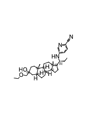 CCOC[C@@]1(O)CC[C@@]2(C)[C@H](CC[C@@H]3[C@@H]2CC[C@]2(C)[C@@H]([C@H](CC)Nc4ccc(C#N)nc4)CC[C@@H]32)C1